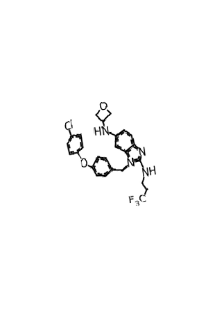 FC(F)(F)CCNc1nc2ccc(NC3COC3)cc2n1Cc1ccc(Oc2ccc(Cl)cc2)cc1